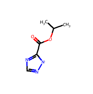 CC(C)OC(=O)C1=NC=N[N]1